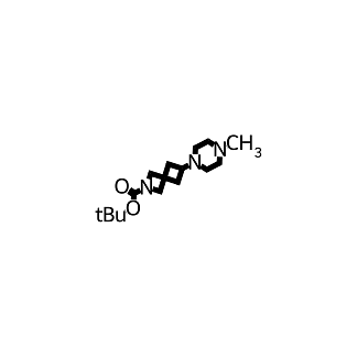 CN1CCN(C2CC3(C2)CN(C(=O)OC(C)(C)C)C3)CC1